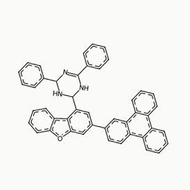 c1ccc(C2=NC(c3ccccc3)NC(c3cc(-c4ccc5c6ccccc6c6ccccc6c5c4)cc4oc5ccccc5c34)N2)cc1